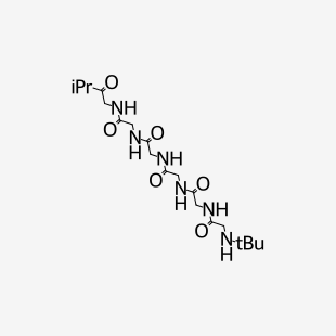 CC(C)C(=O)CNC(=O)CNC(=O)CNC(=O)CNC(=O)CNC(=O)CNC(C)(C)C